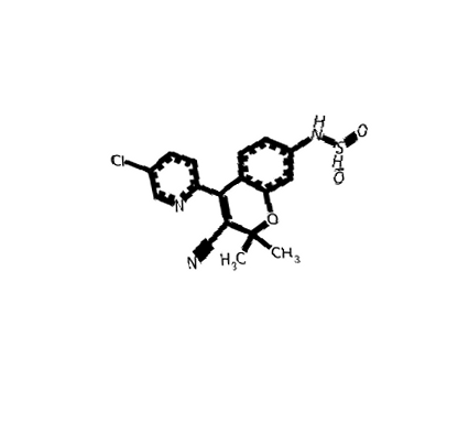 CC1(C)Oc2cc(N[SH](=O)=O)ccc2C(c2ccc(Cl)cn2)=C1C#N